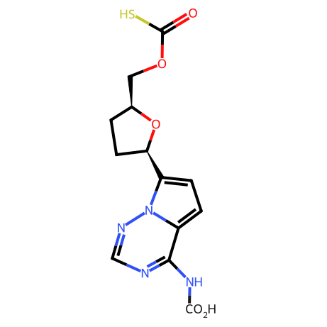 O=C(O)Nc1ncnn2c([C@H]3CC[C@@H](COC(=O)S)O3)ccc12